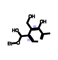 C=C(C)/C(O)=C(CO)\C(=C/C)C(O)OCC